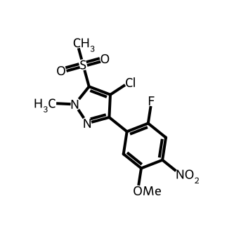 COc1cc(-c2nn(C)c(S(C)(=O)=O)c2Cl)c(F)cc1[N+](=O)[O-]